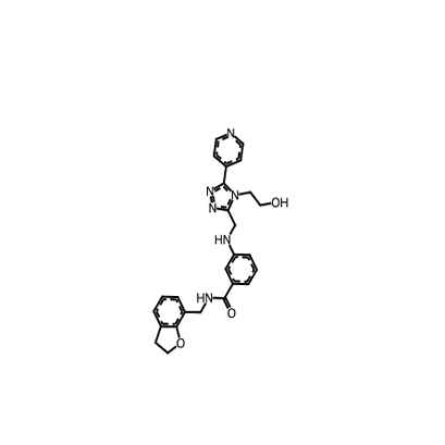 O=C(NCc1cccc2c1OCC2)c1cccc(NCc2nnc(-c3ccncc3)n2CCO)c1